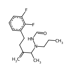 C=C(CCc1cccc(F)c1F)C(C)N(CCC)NC=O